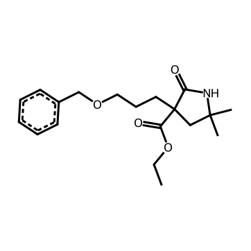 CCOC(=O)C1(CCCOCc2ccccc2)CC(C)(C)NC1=O